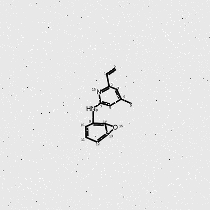 C=Cc1cc(C)cc(Nc2cccc3c2O3)n1